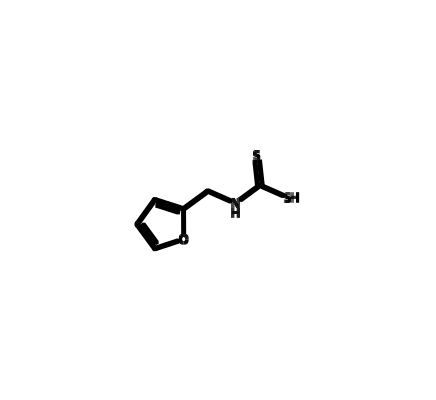 S=C(S)NCc1ccco1